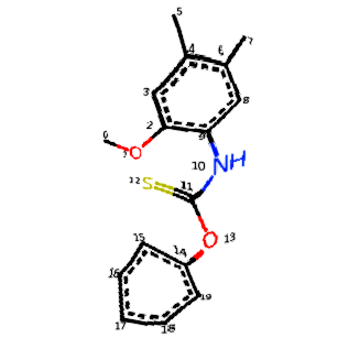 COc1cc(C)c(C)cc1NC(=S)Oc1ccccc1